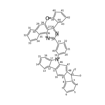 CC1(C)c2ccccc2-c2cc3c4ccccc4n(-c4cccc(-c5nc6c7c(cc8ccccc8c7n5)Oc5ccccc5-6)c4)c3cc21